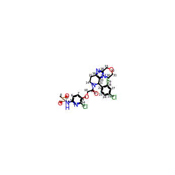 CS(=O)(=O)Nc1ccc(OCC(=O)N2CCc3nc4n(c3C2c2ccc(Cl)cc2F)CCOC4)c(Cl)n1